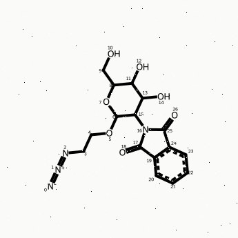 [N-]=[N+]=NCCOC1OC(CO)C(O)C(O)C1N1C(=O)c2ccccc2C1=O